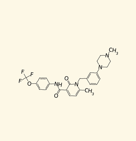 Cc1ccc(C(=O)Nc2ccc(OC(F)(F)F)cc2)c(=O)n1Cc1cccc(N2CCN(C)CC2)c1